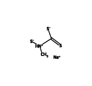 C[NH+]([S-])C(=S)[S-].[Na+]